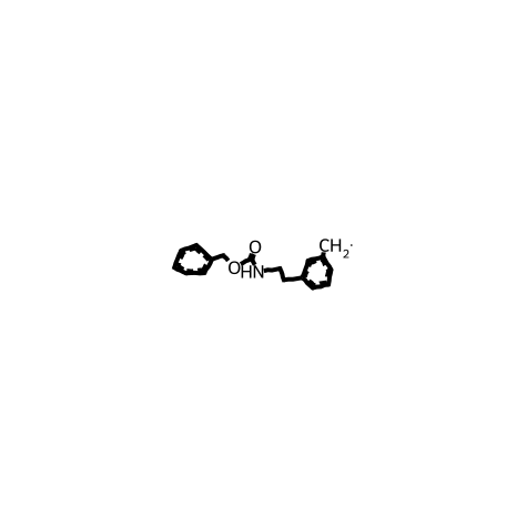 [CH2]c1cccc(CCNC(=O)OCc2ccccc2)c1